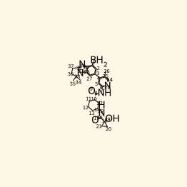 Bc1cc(-c2cc(NC(=O)[C@H]3CCC[C@@H](NC(=O)C4(O)CC4)C3)ncc2C)cc2c1nc1n2C(C)(C)CC1